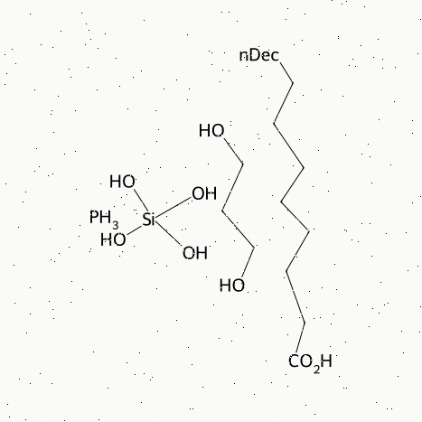 CCCCCCCCCCCCCCCCCC(=O)O.OCCCO.O[Si](O)(O)O.P